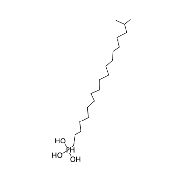 CC(C)CCCCCCCCCCCCCCCCC[PH](O)(O)O